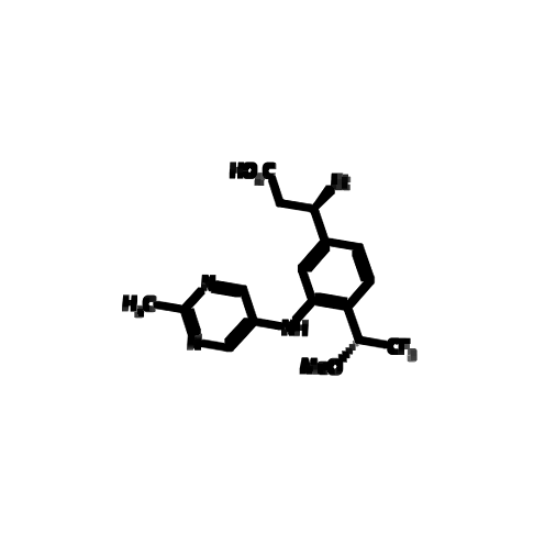 CC[C@H](CC(=O)O)c1ccc([C@@H](OC)C(F)(F)F)c(Nc2cnc(C)nc2)c1